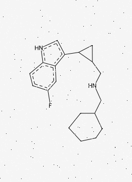 Fc1ccc2[nH]cc(C3CC3CNCC3CCCCC3)c2c1